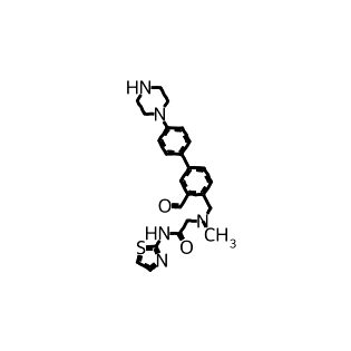 CN(CC(=O)Nc1nccs1)Cc1ccc(-c2ccc(N3CCNCC3)cc2)cc1C=O